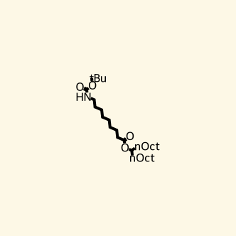 CCCCCCCCC(CCCCCCCC)OC(=O)CCCCCCCCNC(=O)OC(C)(C)C